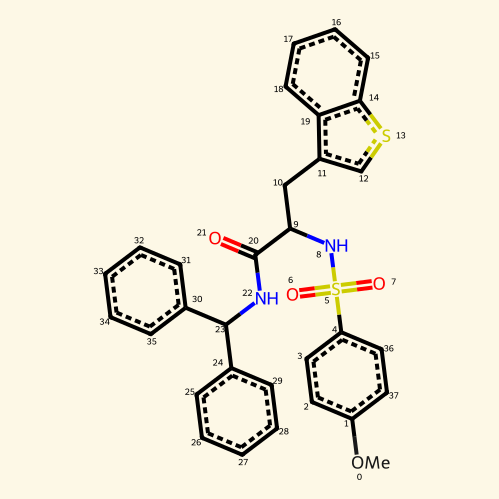 COc1ccc(S(=O)(=O)NC(Cc2csc3ccccc23)C(=O)NC(c2ccccc2)c2ccccc2)cc1